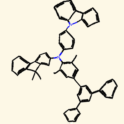 Cc1cc(-c2cc(-c3ccccc3)cc(-c3ccccc3)c2)cc(C)c1N(c1ccc(-n2c3ccccc3c3ccccc32)cc1)c1ccc2c(c1)C(C)(C)c1ccccc1-2